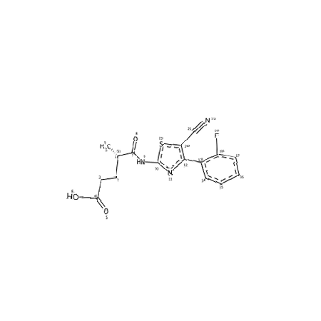 C[C@@H](CCC(=O)O)C(=O)Nc1nc(-c2ccccc2F)c(C#N)s1